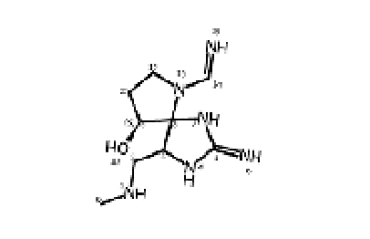 CNCC1NC(=N)NC12[C@@H](O)CCN2C=N